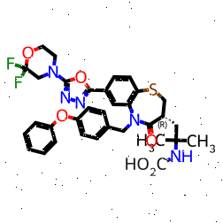 CC(C)(C[C@H]1CSc2ccc(-c3nnc(N4CCOC(F)(F)C4)o3)cc2N(Cc2ccc(Oc3ccccc3)cc2)C1=O)NC(=O)O